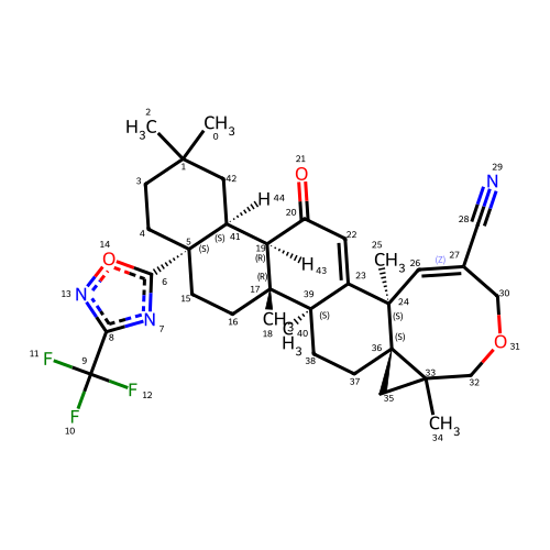 CC1(C)CC[C@]2(c3nc(C(F)(F)F)no3)CC[C@]3(C)[C@H](C(=O)C=C4[C@@]5(C)/C=C(/C#N)COCC6(C)C[C@]65CC[C@]43C)[C@@H]2C1